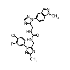 Cc1nc(CNC(=O)NCc2ncnn2-c2ccc3c(cnn3C)c2)n(-c2ccc(Cl)c(F)c2)n1